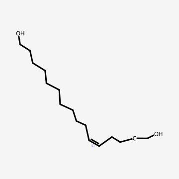 OCCCC/C=C\CCCCCCCCCCO